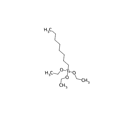 CCCCCCC[CH2][Ti]([O]CC)([O]CC)[O]CC